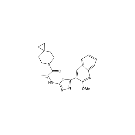 COc1nc2ccccc2cc1-c1nnc(N[C@H](C)C(=O)N2CCC3(CC2)CC3)o1